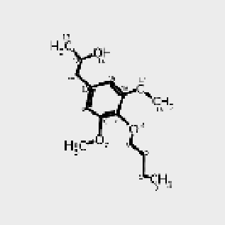 CCCCOc1c(OC)cc(CC(C)O)cc1OC